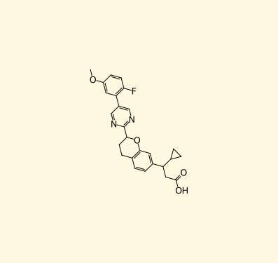 COc1ccc(F)c(-c2cnc(C3CCc4ccc(C(CC(=O)O)C5CC5)cc4O3)nc2)c1